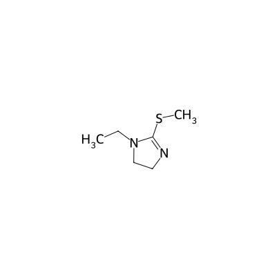 CCN1CCN=C1SC